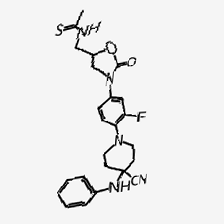 CC(=S)NCC1CN(c2ccc(N3CCC(C#N)(Nc4ccccc4)CC3)c(F)c2)C(=O)O1